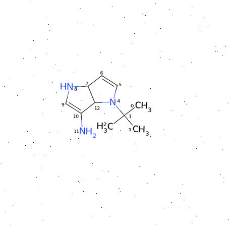 CC(C)(C)N1C=CC2NC=C(N)C21